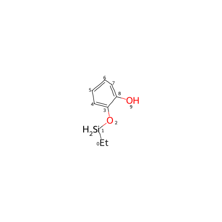 CC[SiH2]Oc1ccccc1O